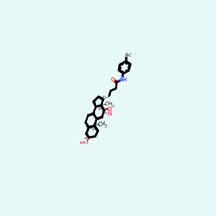 CC(=O)c1ccc(NC(=O)CCC[C@H]2CCC3C4CCC5C[C@H](O)CC[C@]5(C)C4C[C@H](O)[C@@]32C)cc1